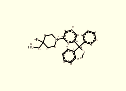 COC(c1ccccc1)(c1ccccc1)c1cncc(N2CCC(F)(CO)CC2)n1